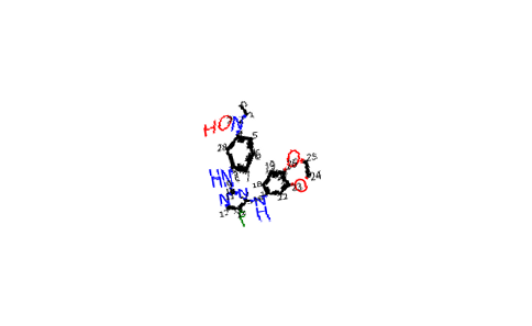 CCN(O)c1cccc(Nc2ncc(F)c(Nc3ccc4c(c3)OCCO4)n2)c1